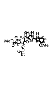 CCC(=O)OCOCC(=O)[C@H](C[C@@H]1CCN(C(=O)OC)C1=O)NC(=O)[C@H](CC(C)C)NC(=O)c1cc2c(OC)cccc2[nH]1